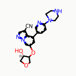 N#Cc1cnn2cc(OC3COC[C@@H]3O)cc(-c3ccc(N4CCNCC4)nc3)c12